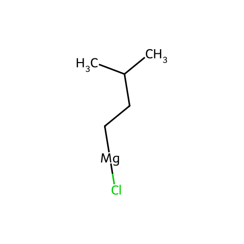 CC(C)C[CH2][Mg][Cl]